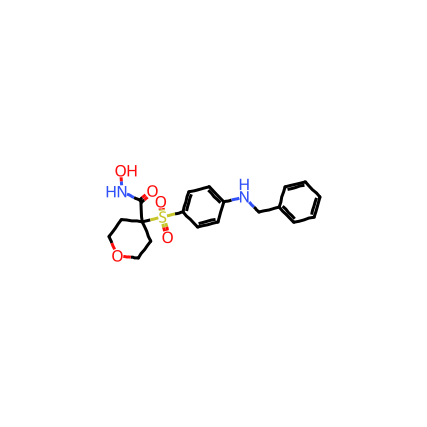 O=C(NO)C1(S(=O)(=O)c2ccc(NCc3ccccc3)cc2)CCOCC1